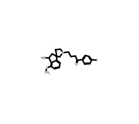 COc1cccc2c1C(O)CC21CCN(CCCC(=O)c2ccc(F)cc2)C1